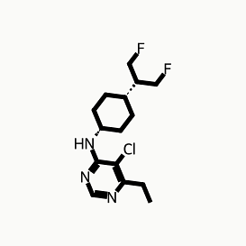 CCc1ncnc(N[C@H]2CC[C@@H](C(CF)CF)CC2)c1Cl